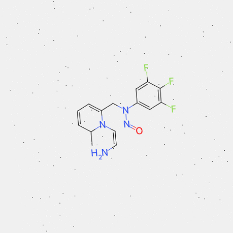 CC1C=CC=C(CN(N=O)c2cc(F)c(F)c(F)c2)N1/C=C\N